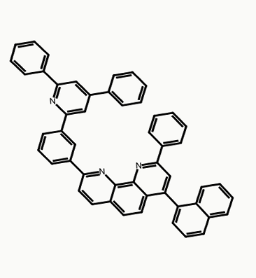 c1ccc(-c2cc(-c3ccccc3)nc(-c3cccc(-c4ccc5ccc6c(-c7cccc8ccccc78)cc(-c7ccccc7)nc6c5n4)c3)c2)cc1